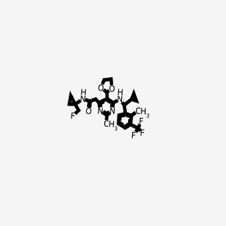 Cc1nc(CC(=O)NC2(CF)CC2)c(C2OCCO2)c(NC(c2cccc(C(F)(F)F)c2C)C2CC2)n1